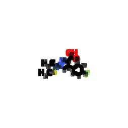 CSN(C)n1cc(-c2ccc(F)cc2)c(C(=O)O)n1